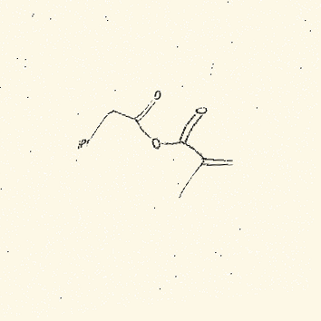 C=C(C)C(=O)OC(=O)CC(C)C